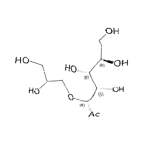 CC(=O)[C@H](OCC(O)CO)[C@@H](O)[C@H](O)[C@H](O)CO